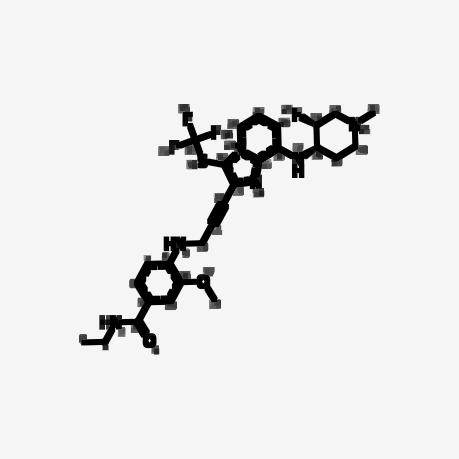 CCNC(=O)c1ccc(NCC#Cc2nc3c(N[C@@H]4CCN(C)C[C@@H]4F)cccn3c2SC(F)(F)F)c(OC)c1